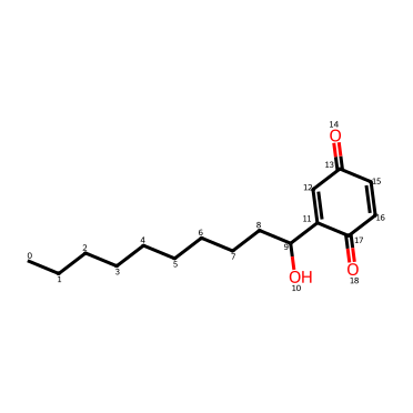 CCCCCCCCCC(O)C1=CC(=O)C=CC1=O